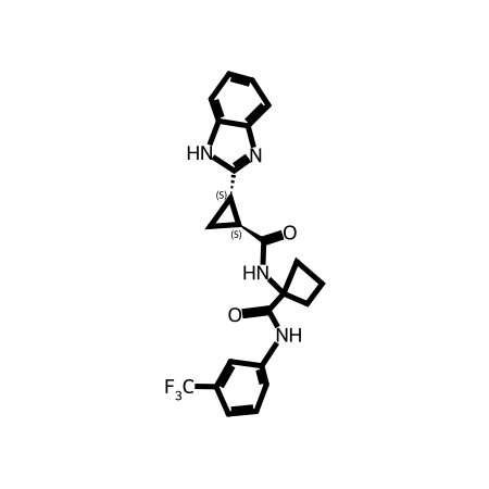 O=C(NC1(C(=O)Nc2cccc(C(F)(F)F)c2)CCC1)[C@H]1C[C@@H]1c1nc2ccccc2[nH]1